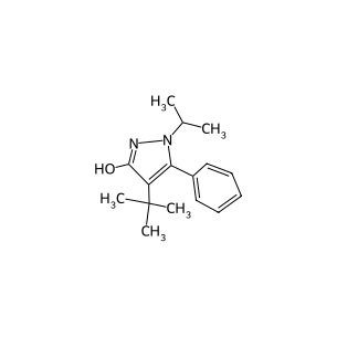 CC(C)n1nc(O)c(C(C)(C)C)c1-c1ccccc1